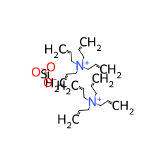 C=CC[N+](CC=C)(CC=C)CC=C.C=CC[N+](CC=C)(CC=C)CC=C.O=[Si]([O-])[O-]